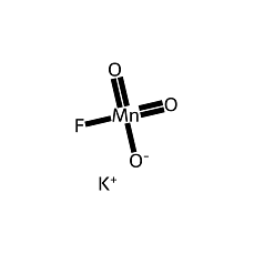 [K+].[O]=[Mn](=[O])([O-])[F]